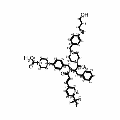 CC(=O)N1CCN(c2ccc(CN(C(=O)C=Cc3ccc(C(F)(F)F)nc3)C(Cc3ccccc3)C(=O)N3CCN(Cc4ccc(NCCCO)cc4)CC3)cc2)CC1